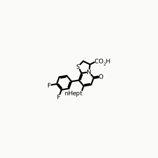 CCCCCCCc1cc(=O)n2c(c1-c1ccc(F)c(F)c1)SCC2C(=O)O